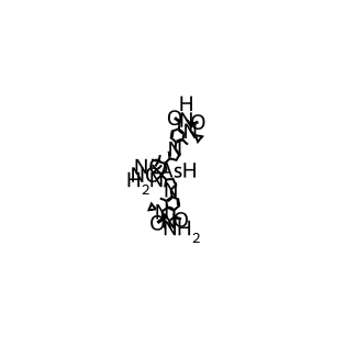 Cc1c(N2CCC(C([AsH]C(N)(C3CCN(c4ccc5c(=O)n(N)c(=O)n(C6CC6)c5c4C)C3)C(C)(C)C#N)C(C)(C)C#N)C2)ccc2c(=O)[nH]c(=O)n(C3CC3)c12